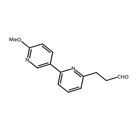 COc1ccc(-c2cccc(CCC=O)n2)cn1